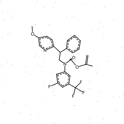 C=C(C)OC(=O)N(CC(c1ccccc1)c1ccc(OC)cn1)c1cc(F)cc(C(F)(F)F)c1